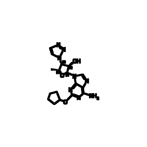 C[C@H]1O[C@@H](n2cnc3c(N)nc(OC4CCCC4)nc32)[C@H](O)[C@H]1n1ccnn1